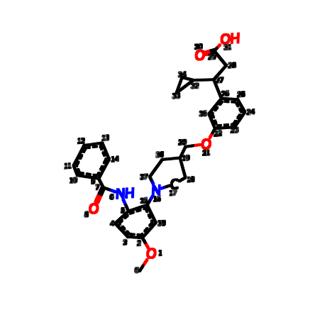 COc1ccc(NC(=O)c2ccccc2)c(N2CCC(COc3cccc(C(CC(=O)O)C4CC4)c3)CC2)c1